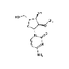 CO[C@@H]1[C@H](S)[C@@H](CO)O[C@H]1n1ccc(N)nc1=O